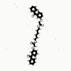 O=C(COc1ccc2sc3ccccc3c(=O)c2c1)OCCCCCCOC(=O)COc1ccc2sc3ccccc3c(=O)c2c1